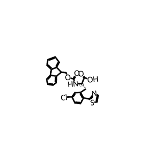 O=C(N[C@@H](Cc1cc(Cl)ccc1-c1nccs1)C(=O)O)OCC1c2ccccc2-c2ccccc21